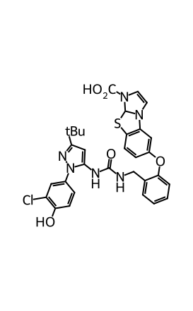 CC(C)(C)c1cc(NC(=O)NCc2ccccc2Oc2ccc3c(c2)N2C=CN(C(=O)O)C2S3)n(-c2ccc(O)c(Cl)c2)n1